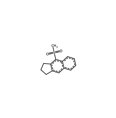 CS(=O)(=O)c1c2c(cc3ccccc13)CCC2